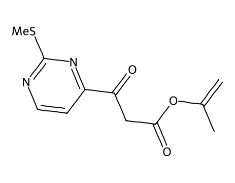 C=C(C)OC(=O)CC(=O)c1ccnc(SC)n1